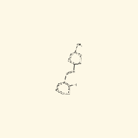 Cc1ccc(/N=C/c2ccccc2I)cc1